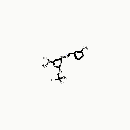 Cc1cccc(/C=N/Nc2cc(N(C)C)nc(OCC(C)(C)O)n2)c1